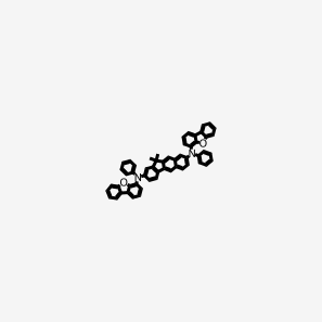 CC1(C)c2cc(N(c3ccccc3)c3cccc4c3oc3ccccc34)ccc2-c2cc3ccc(N(c4ccccc4)c4cccc5c4oc4ccccc45)cc3cc21